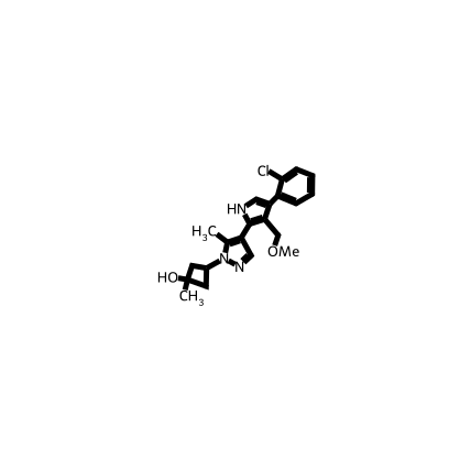 COCc1c(-c2ccccc2Cl)c[nH]c1-c1cnn(C2CC(C)(O)C2)c1C